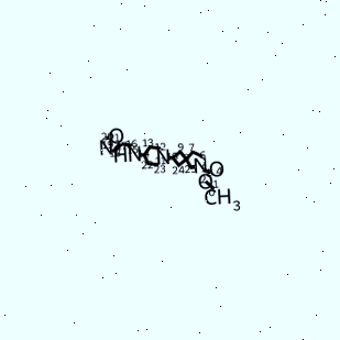 CCOC(=O)N1CCC2(CC(N3CCC(NCc4cnco4)CC3)C2)C1